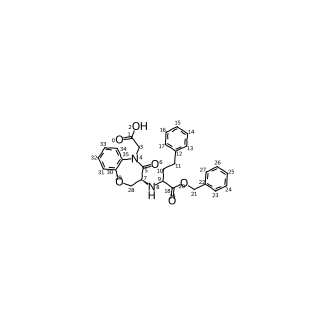 O=C(O)CN1C(=O)[C@@H](NC(CCc2ccccc2)C(=O)OCc2ccccc2)COc2ccccc21